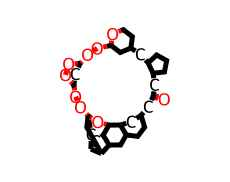 O=C1CC2CCC3CC4C5CC6(CC5CC4C(O6)C3C2)OOC2CC(OOC3CC(CCO3)CC3CCCC3C1)OO2